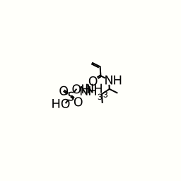 C=CC(=O)NC(C)CC.N.N.O=S(=O)(O)O